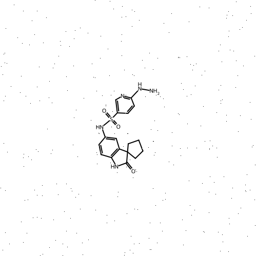 NNc1ccc(S(=O)(=O)Nc2ccc3c(c2)C2(CCCC2)C(=O)N3)cn1